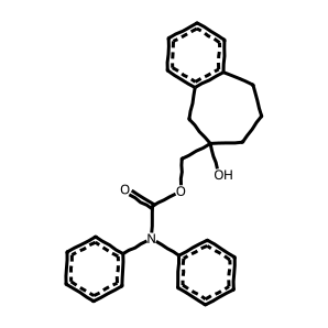 O=C(OCC1(O)CCCc2ccccc2C1)N(c1ccccc1)c1ccccc1